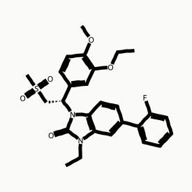 CCOc1cc([C@@H](CS(C)(=O)=O)n2c(=O)n(CC)c3cc(-c4ccccc4F)ccc32)ccc1OC